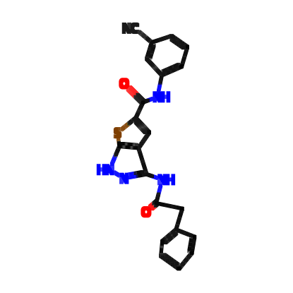 N#Cc1cccc(NC(=O)c2cc3c(NC(=O)Cc4ccccc4)n[nH]c3s2)c1